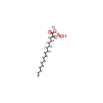 CCCCCCCCCCCCCCCCC(OCO)C(=O)OC